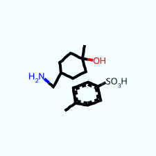 CC1(O)CCC(CN)CC1.Cc1ccc(S(=O)(=O)O)cc1